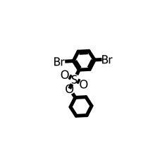 O=S(=O)(OC1CCCCC1)c1cc(Br)ccc1Br